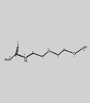 CCCOCCOCCNC(=S)NC